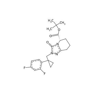 CC(C)(C)OC(=O)[C@@H]1CCCc2nn(CC3(c4ccc(F)cc4F)CC3)c(=O)n21